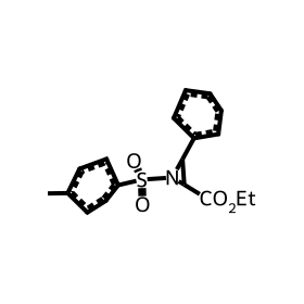 CCOC(=O)C1C(c2ccccc2)N1S(=O)(=O)c1ccc(C)cc1